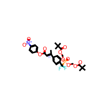 C/C(=C\C(=O)Oc1ccc([N+](=O)[O-])cc1)c1ccc(C(F)(F)P(=O)(OCOC(=O)C(C)(C)C)OCOC(=O)C(C)(C)C)cc1